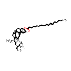 CCCCCCCCCCCCCC=CC=CC(=O)OC1CC[C@@]2(C)C(CC[C@H]3[C@@H]4CC[C@H]([C@H](C)CC[C@@H](CC)C(C)C)[C@@]4(C)CC[C@@H]32)C1